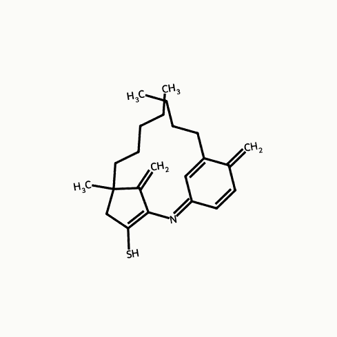 C=C1C=C/C(=N/C2=C(S)CC(C)(CCCCC)C2=C)C=C1CCCC